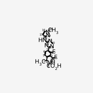 CC(NC(=O)O)c1ccc(-c2ncnc(Nc3ccn(C)n3)n2)c(F)c1C(F)F